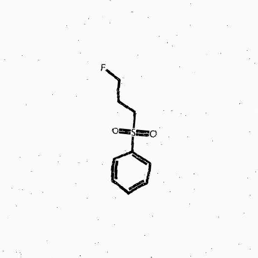 O=S(=O)(CCCF)c1ccccc1